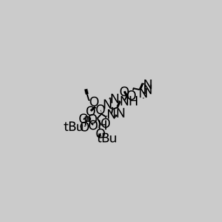 C#CCOC(=O)O[C@H]1C(OP(=O)(O)OC(C)(C)C)[C@@H](COC(C)(C)C)O[C@H]1n1cnc2c(NC(=O)OCc3cnnn3C)ncnc21